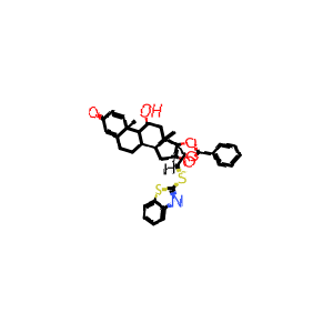 CC12C=CC(=O)C=C1CCC1C2[C@@H](O)CC2(C)C1C[C@@H]1OC(c3ccccc3)O[C@]12C(=O)CSc1nc2ccccc2s1